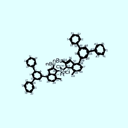 CCCCC1=Cc2c(-c3cc(-c4ccccc4)cc(-c4ccccc4)c3)ccc(C)c2[CH]1[Zr]([Cl])([Cl])([CH2]C)[CH]1C(CCCC)=Cc2c(-c3cc(-c4ccccc4)cc(-c4ccccc4)c3)ccc(C)c21